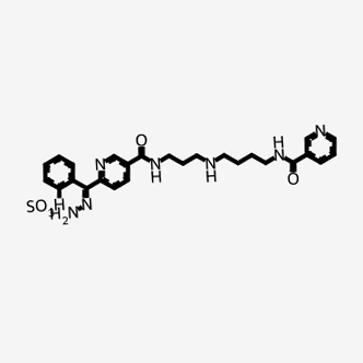 NN=C(c1ccc(C(=O)NCCCNCCCCNC(=O)c2cccnc2)cn1)c1ccccc1S(=O)(=O)O